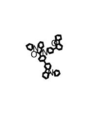 O=c1c2c3ccc(-c4ccc5c(c4)c4ccccc4n5-c4ccccc4)cc3n(-c3ccc(-c4cccc5c4oc4ccccc45)cc3)c2c2ccccc2n1-c1ccccc1